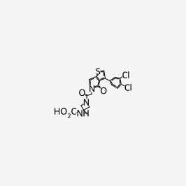 CC1(NC(=O)O)CN(C(=O)Cn2ccc3scc(-c4ccc(Cl)c(Cl)c4)c3c2=O)C1